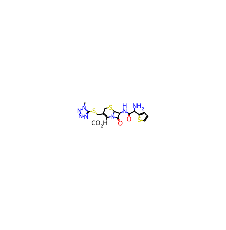 Cn1nnnc1SCC1=C(C(=O)O)N2C(=O)C(NC(=O)C(N)c3cccs3)C2SC1